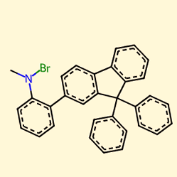 CN(Br)c1ccccc1-c1ccc2c(c1)C(c1ccccc1)(c1ccccc1)c1ccccc1-2